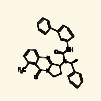 C[C@@H](c1ccccc1)N(C(=O)Nc1cccc(-c2ccccc2)c1)C1CCn2c1nc1cccc(C(F)(F)F)c1c2=O